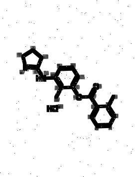 Cc1ccccc1C(=O)Oc1cccc(NC2=NCCC2)c1C.Cl